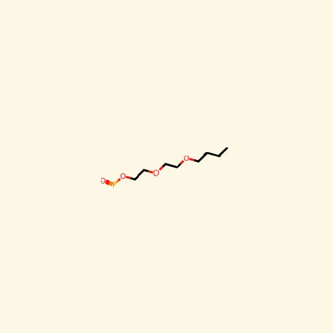 CCCCOCCOCCOP=O